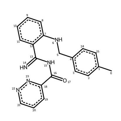 Cc1ccc(CNc2ccccc2C(=N)NC(=O)c2cccnn2)cc1